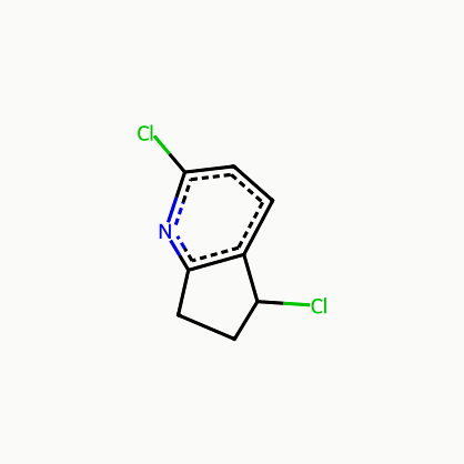 Clc1ccc2c(n1)CCC2Cl